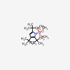 C[O][Ti]([O]C)([O]C)[n]1c(C(C)(C)C)cc(C(C)(C)C)c1C(C)(C)C